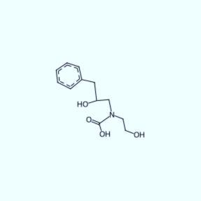 O=C(O)N(CCO)CC(O)Cc1ccccc1